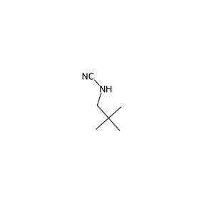 CC(C)(C)CNC#N